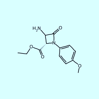 CCOC(=O)[C@@H]1C(N)C(=O)N1c1ccc(OC)cc1